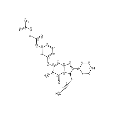 CC#CCn1c(N2CCNCC2)nc2nc(Oc3cccc(NC(=O)COC(=O)C(F)(F)F)c3)n(C)c(=O)c21